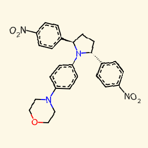 O=[N+]([O-])c1ccc([C@H]2CC[C@H](c3ccc([N+](=O)[O-])cc3)N2c2ccc(N3CCOCC3)cc2)cc1